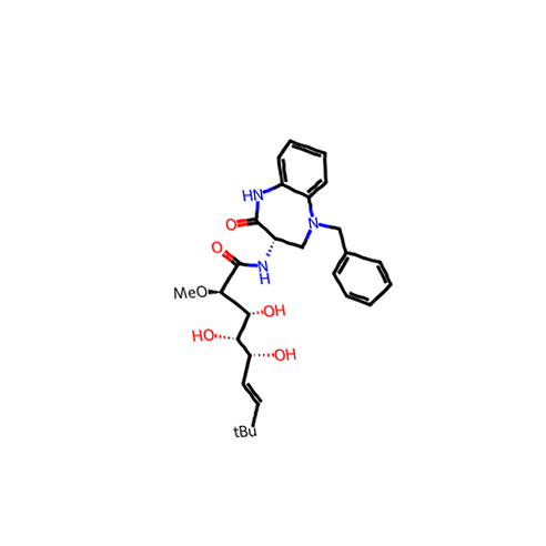 CO[C@@H](C(=O)N[C@H]1CN(Cc2ccccc2)c2ccccc2NC1=O)[C@H](O)[C@@H](O)[C@H](O)/C=C/C(C)(C)C